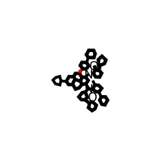 Cc1ccc(-c2ccccc2)cc1N(c1cc(N(c2cc(-c3ccccc3)ccc2C)c2cccc3c2oc2ccccc23)c2ccc3cc(C4CCCCC4)cc4ccc1c2c43)c1cccc2c1oc1ccccc12